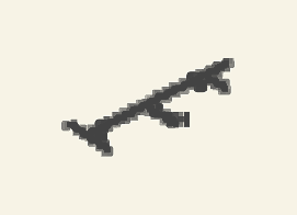 CCCCCC(CCCCC)CC(=O)OCCCCCCCCCCC(CCCCCCCCCCOC(=O)CC(CCCCC)CCCCC)COCCCNC